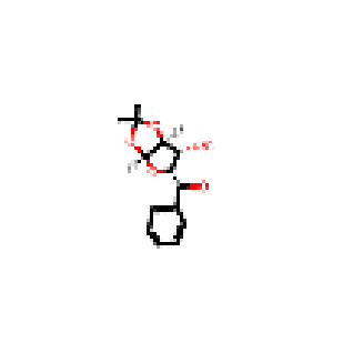 CC1(C)O[C@@H]2O[C@@H](C(=O)c3ccccc3)[C@@H](O)[C@@H]2O1